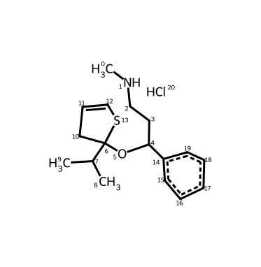 CNCCC(OC1(C(C)C)CC=CS1)c1ccccc1.Cl